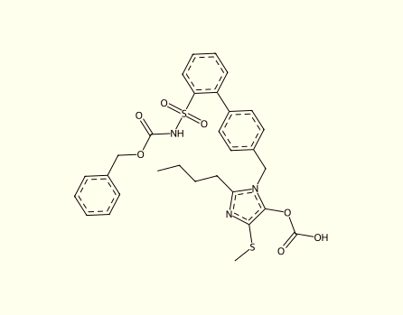 CCCCc1nc(SC)c(OC(=O)O)n1Cc1ccc(-c2ccccc2S(=O)(=O)NC(=O)OCc2ccccc2)cc1